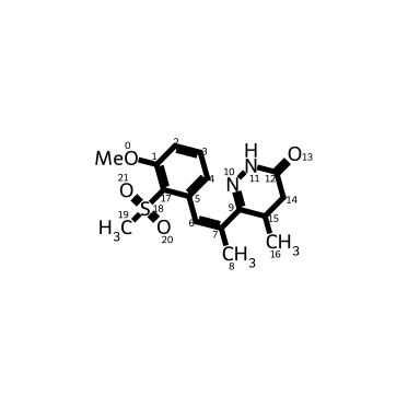 COc1cccc(C=C(C)C2=NNC(=O)CC2C)c1S(C)(=O)=O